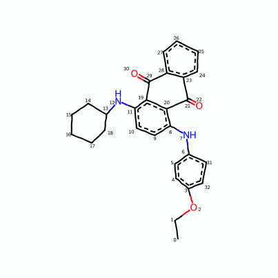 CCOc1ccc(Nc2ccc(NC3CCCCC3)c3c2C(=O)c2ccccc2C3=O)cc1